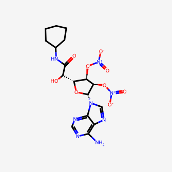 Nc1ncnc2c1ncn2[C@@H]1O[C@H](C(O)C(=O)NC2CCCCC2)[C@@H](O[N+](=O)[O-])[C@H]1O[N+](=O)[O-]